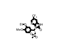 CCOc1cc([C@@H](CS(C)(=O)=O)n2c(=O)[nH]c3cc(C(F)(F)F)cnc32)ccc1OC